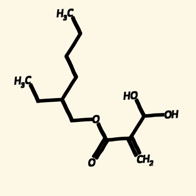 C=C(C(=O)OCC(CC)CCCC)C(O)O